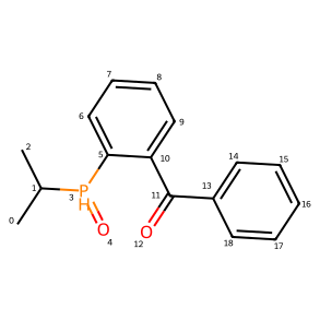 CC(C)[PH](=O)c1ccccc1C(=O)c1ccccc1